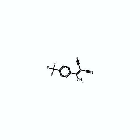 CC(=C(C#N)C#N)c1ccc(C(F)(F)F)cc1